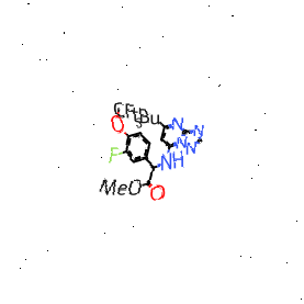 COC(=O)C(Nc1cc(C(C)(C)C)nc2ncnn12)c1ccc(OC(F)(F)F)c(F)c1